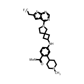 CNC(=O)c1ccc(NC2CC3(CCN(c4ncnc5sc(CC(F)(F)F)cc45)C3)C2)cc1C1CCN(C)CC1